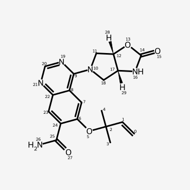 C=CC(C)(C)Oc1cc2c(N3C[C@@H]4OC(=O)N[C@@H]4C3)ncnc2cc1C(N)=O